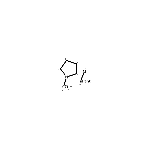 CCCCCCl.O=C(O)N1CCCC1